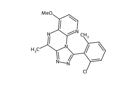 COc1ccnc2c1nc(C)c1nnc(-c3c(C)cccc3Cl)n12